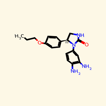 CCCOc1ccc([C@H]2CNC(=O)N2c2ccc(N)c(N)c2)cc1